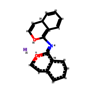 C1=CC2=C(N=c3occc4ccccc34)OC=CC2C=C1.I